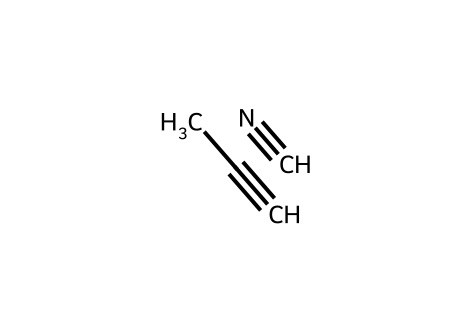 C#CC.C#N